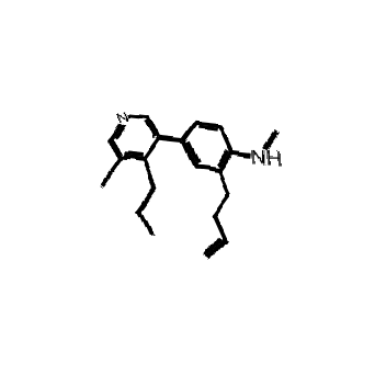 C=CCCc1cc(-c2cncc(C)c2CCC)ccc1NC